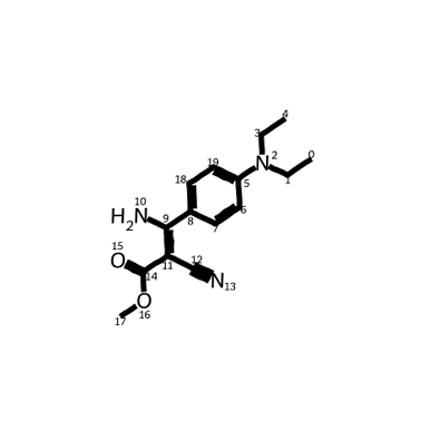 CCN(CC)c1ccc(/C(N)=C(\C#N)C(=O)OC)cc1